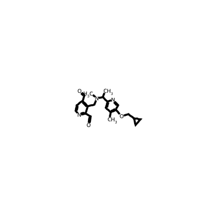 Cc1cc(C(C)N(C)Cc2c(C=O)ccnc2C=O)ncc1OCC1CC1